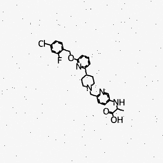 CC(Nc1ccc(CN2CCC(c3cccc(OCc4ccc(Cl)cc4F)n3)CC2)nc1)C(=O)O